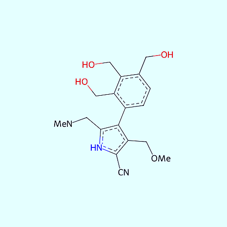 CNCc1[nH]c(C#N)c(COC)c1-c1ccc(CO)c(CO)c1CO